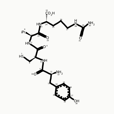 CC(C)[C@H](NC(=O)[C@H](CS)NC(=O)[C@@H](N)Cc1ccc(O)cc1)C(=O)N[C@@H](CCCNC(N)=O)C(=O)O